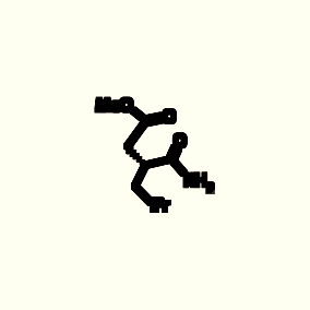 COC(=O)C[C@@H](CC(C)C)C(N)=O